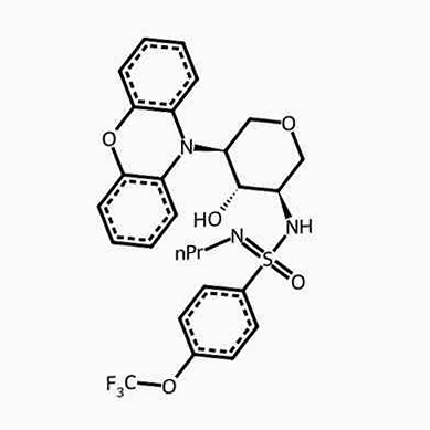 CCCN=S(=O)(N[C@@H]1COC[C@H](N2c3ccccc3Oc3ccccc32)[C@H]1O)c1ccc(OC(F)(F)F)cc1